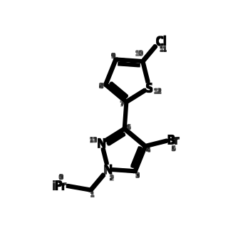 CC(C)Cn1cc(Br)c(-c2ccc(Cl)s2)n1